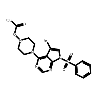 CC(C)(C)C(=O)ON1CCN(c2ncnc3c2c(Br)cn3S(=O)(=O)c2ccccc2)CC1